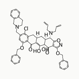 C=CCN(CC=C)[C@@H]1c2onc(OCc3ccccc3)c2C(=O)[C@@]2(O)C(O)=C3C(=O)c4c(OCc5ccccc5)cc(CN5CCc6ccccc6C5)c(Cl)c4C[C@H]3C[C@@H]12